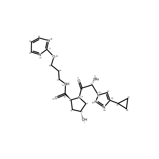 CC(C)(C)[C@@H](C(=O)N1C[C@H](O)C[C@H]1C(=O)NCCCOc1ncccn1)n1cc(C2CC2)nn1